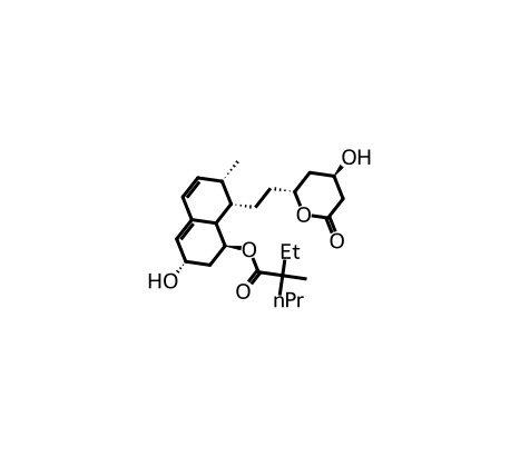 CCCC(C)(CC)C(=O)O[C@H]1C[C@H](O)C=C2C=C[C@H](C)[C@H](CC[C@@H]3C[C@@H](O)CC(=O)O3)C21